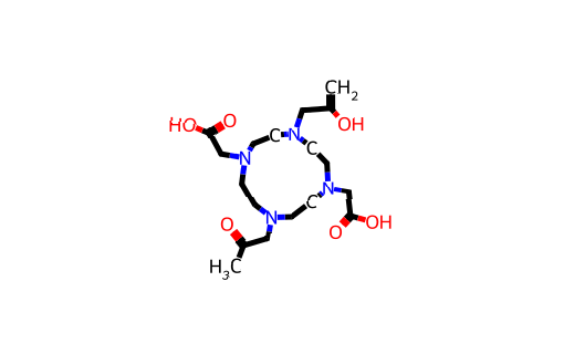 C=C(O)CN1CCN(CC(=O)O)CCN(CC(C)=O)CCN(CC(=O)O)CC1